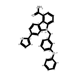 NC(=O)c1cccc2c1c1[c]cc(-c3cccs3)cc1n2Cc1cccc(Oc2ccccc2)c1